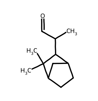 CC(C=O)C1C2CCC(C2)C1(C)C